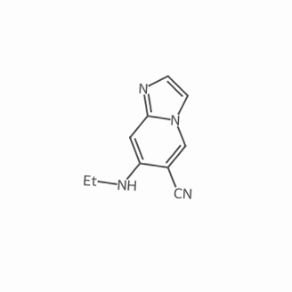 CCNc1cc2nccn2cc1C#N